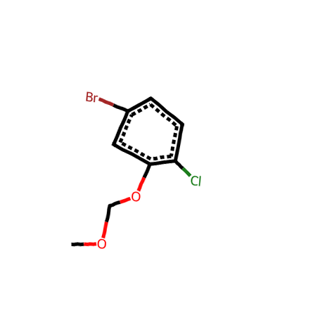 COCOc1cc(Br)ccc1Cl